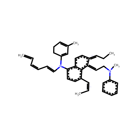 C=C/C=C\C=C\N(C1=CC(C)=CCC1)c1ccc(/C=C\C)c2c(=C/CN(C)c3ccccc3)/c(=C\CC)ccc12